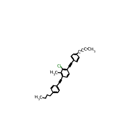 CCCCc1ccc(C#Cc2ccc(C#Cc3ccc(CCCC)cc3)c(Cl)c2C)cc1